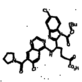 CC(C)(C)OC(=O)n1c(C(CCC(=O)C(=O)O)Nc2ncnc3cc(C(=O)N4CCCC4)c(Cl)cc23)nc2cc(Cl)ccc21